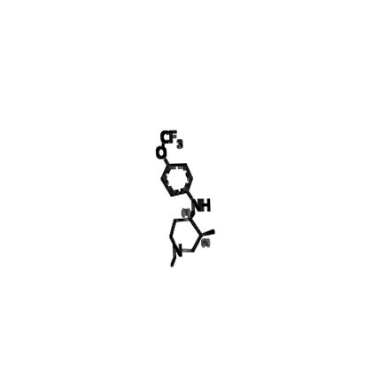 C[C@H]1CN(C)CC[C@H]1Nc1ccc(OC(F)(F)F)cc1